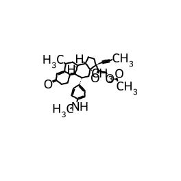 CC#C[C@]1(C(=O)COC(C)=O)CC[C@H]2[C@@H]3CC(C)C4=CC(=O)CCC4=C3[C@@H](c3ccc(NC)cc3)C[C@@]21C